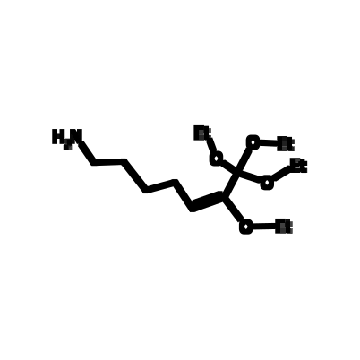 CCOC(=CCCCCN)C(OCC)(OCC)OCC